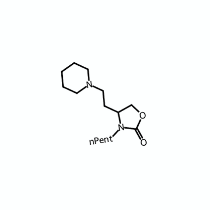 CCCCCN1C(=O)OCC1CCN1CCCCC1